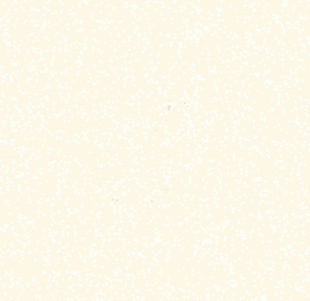 COc1ccc(Oc2ccc3[nH]ncc3c2)cc1